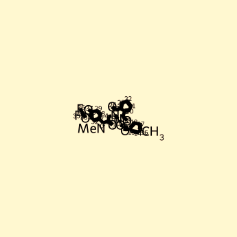 CNC(C(=O)Cn1nc(OS(=O)(=O)c2ccc(C)cc2)c2ccccc2c1=O)c1ccc2c(c1)OC(F)(F)O2